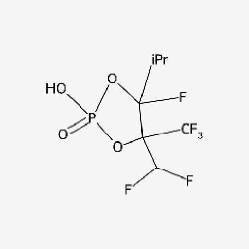 CC(C)C1(F)OP(=O)(O)OC1(C(F)F)C(F)(F)F